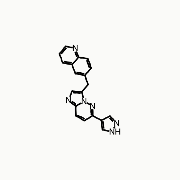 c1cnc2ccc(Cc3cnc4ccc(-c5cn[nH]c5)nn34)cc2c1